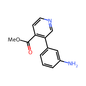 COC(=O)c1ccncc1-c1cccc(N)c1